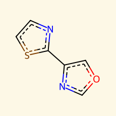 c1csc(-c2cocn2)n1